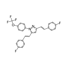 Fc1ccc(/C=C/c2cc(/C=C/c3ccc(F)cc3)n(-c3ccc(OC(F)(F)F)cc3)n2)cc1